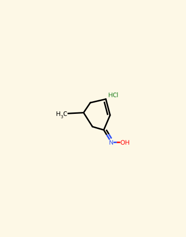 CC1CC=C/C(=N\O)C1.Cl